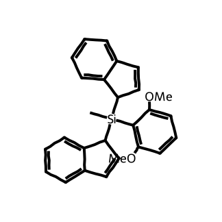 COc1cccc(OC)c1[Si](C)(C1C=Cc2ccccc21)C1C=Cc2ccccc21